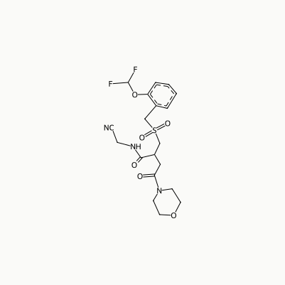 N#CCNC(=O)C(CC(=O)N1CCOCC1)CS(=O)(=O)Cc1ccccc1OC(F)F